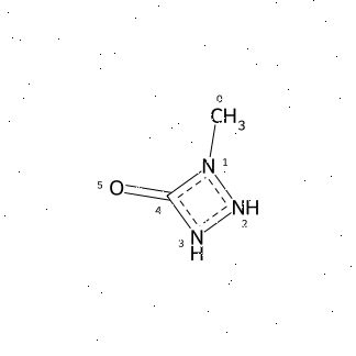 Cn1[nH][nH]c1=O